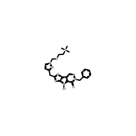 CCn1c2nc(Cc3ccn(COCC[Si](C)(C)C)n3)sc2c2cnn(Cc3ccccc3)c(=O)c21